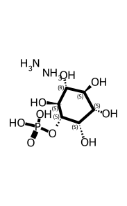 N.N.O=P(O)(O)O[C@@H]1[C@@H](O)[C@H](O)[C@@H](O)[C@H](O)[C@@H]1O